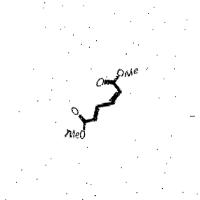 COC(=O)/C=C\C=C\C(=O)OC